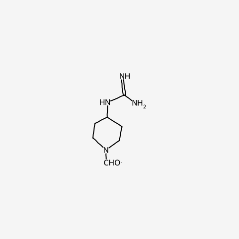 N=C(N)NC1CCN([C]=O)CC1